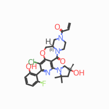 C=CC(=O)N1CCN2C(=O)c3c(N4C[C@](C)(O)CC4(C)C)nc(-c4c(O)cccc4F)c(Cl)c3OC[C@H]2C1